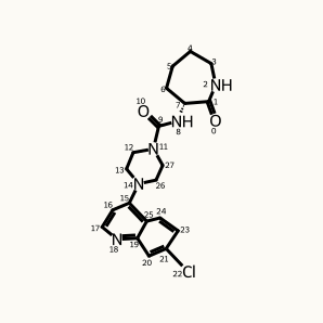 O=C1NCCCC[C@H]1NC(=O)N1CCN(c2ccnc3cc(Cl)ccc23)CC1